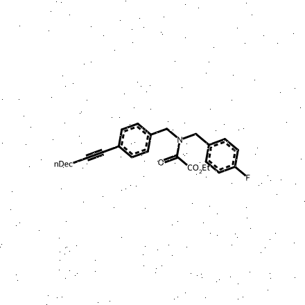 CCCCCCCCCCC#Cc1ccc(CN(Cc2ccc(F)cc2)C(=O)C(=O)OCC)cc1